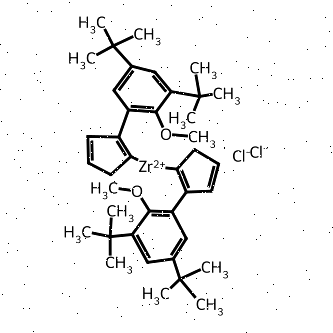 COc1c(C2=[C]([Zr+2][C]3=C(c4cc(C(C)(C)C)cc(C(C)(C)C)c4OC)C=CC3)CC=C2)cc(C(C)(C)C)cc1C(C)(C)C.[Cl-].[Cl-]